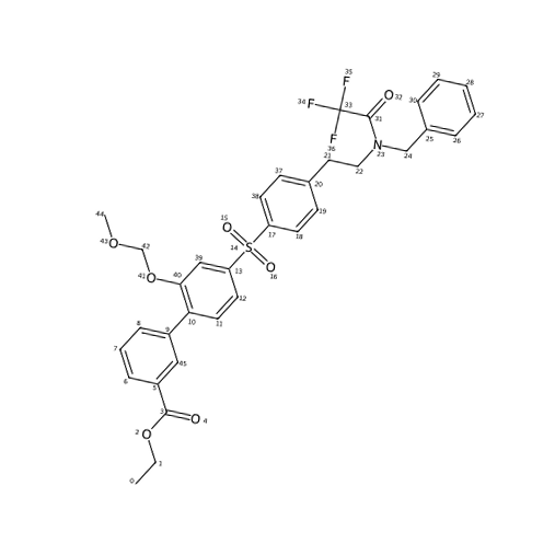 CCOC(=O)c1cccc(-c2ccc(S(=O)(=O)c3ccc(CCN(Cc4ccccc4)C(=O)C(F)(F)F)cc3)cc2OCOC)c1